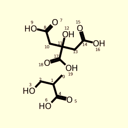 CC(CO)C(=O)O.O=C(O)CC(O)(CC(=O)O)C(=O)O